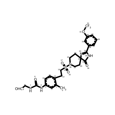 Cc1cc(NC(=O)NCC=O)ccc1CCS(=O)(=O)N1CCC2(CC1)N=C(c1cccc(OC(F)(F)F)c1)NC2=O